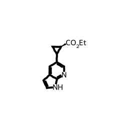 CCOC(=O)[C@@H]1CC1c1cnc2[nH]ccc2c1